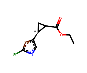 CCOC(=O)C1C[C@@H]1c1cnc(Br)s1